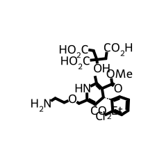 CCOC(=O)C1=C(COCCN)NC(C)=C(C(=O)OC)[C@@H]1c1ccccc1Cl.O=C(O)CC(O)(CC(=O)O)C(=O)O